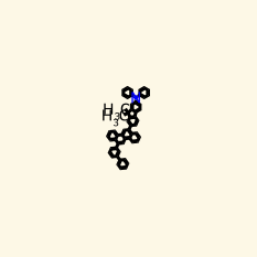 CC1(C)c2cc(-c3cc4c5ccccc5c(-c5cccc(-c6ccccc6)c5)cc4c4ccccc34)ccc2-c2ccc(N(c3ccccc3)c3ccccc3)cc21